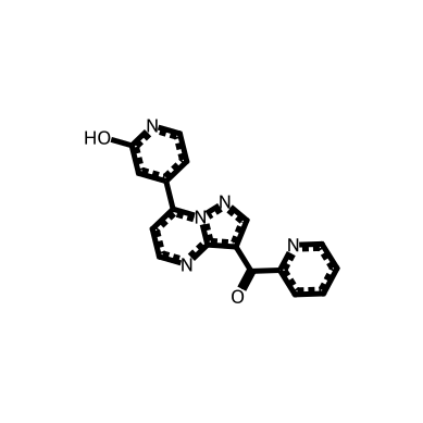 O=C(c1ccccn1)c1cnn2c(-c3ccnc(O)c3)ccnc12